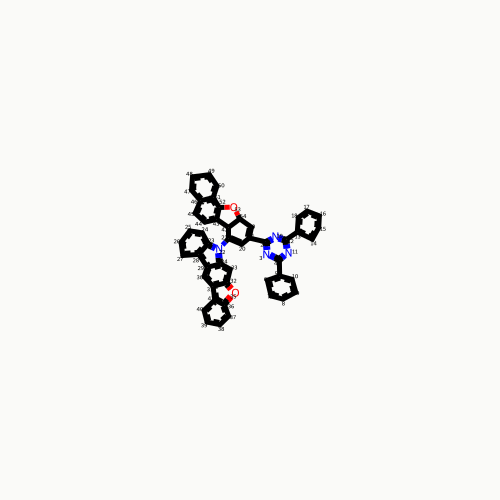 C1=C(c2nc(-c3ccccc3)nc(-c3ccccc3)n2)C=C(n2c3ccccc3c3cc4c(cc32)oc2ccccc24)C2c3ccc4ccccc4c3OC12